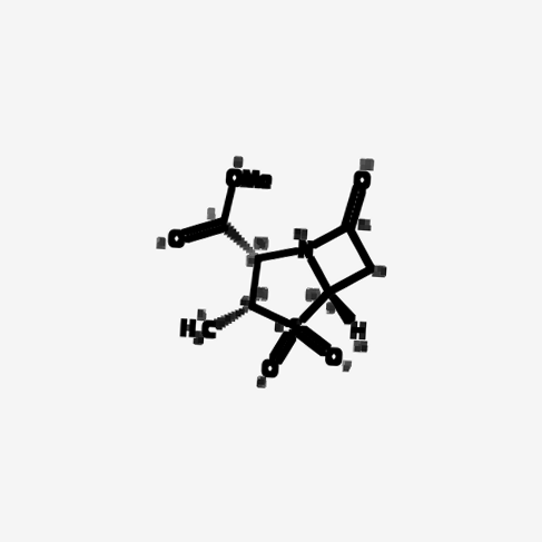 COC(=O)[C@H]1[C@@H](C)S(=O)(=O)[C@H]2CC(=O)N12